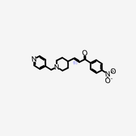 O=C(/C=C/C1CCN(Cc2ccncc2)CC1)c1ccc([N+](=O)[O-])cc1